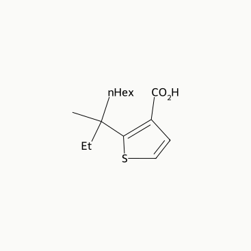 CCCCCCC(C)(CC)c1sccc1C(=O)O